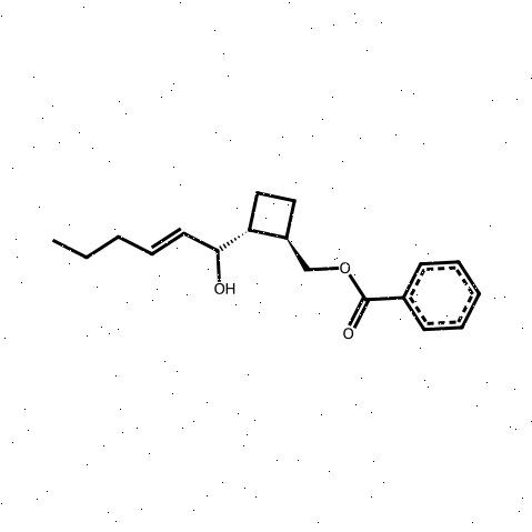 CCC/C=C/C(O)[C@@H]1CC[C@H]1COC(=O)c1ccccc1